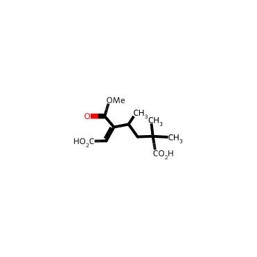 COC(=O)/C(=C\C(=O)O)C(C)CC(C)(C)C(=O)O